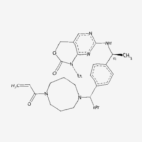 C=CC(=O)N1CCCN(C(CCC)c2ccc([C@H](C)Nc3ncc4c(n3)N(CC)C(=O)OC4)cc2)CCC1